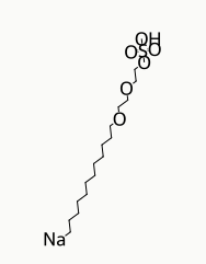 O=S(=O)(O)OCCOCCOCCCCCCCCCCC[CH2][Na]